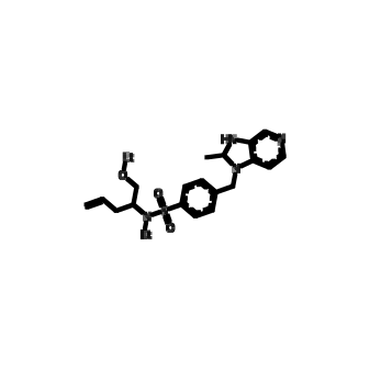 C=CCC(COCC)N(CC)S(=O)(=O)c1ccc(CN2c3ccncc3NC2C)cc1